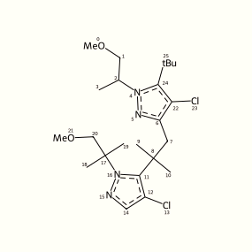 COCC(C)n1nc(CC(C)(C)c2c(Cl)cnn2C(C)(C)COC)c(Cl)c1C(C)(C)C